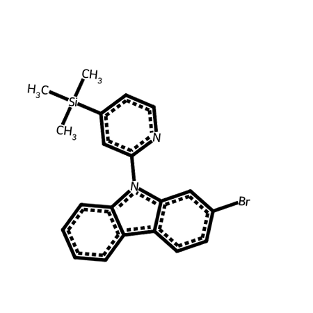 C[Si](C)(C)c1ccnc(-n2c3ccccc3c3ccc(Br)cc32)c1